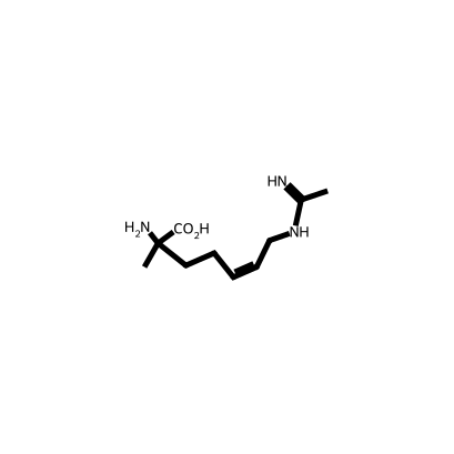 CC(=N)NC/C=C\CCC(C)(N)C(=O)O